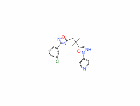 CC(C)(Cc1nc(-c2cccc(Cl)c2)no1)C1=CNN(c2ccncc2)O1